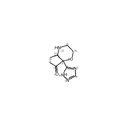 CC(=O)C1(c2ncn[nH]2)OCCNC1C